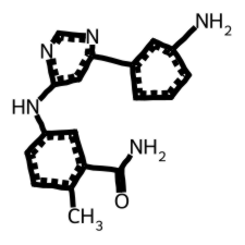 Cc1ccc(Nc2cc(-c3cccc(N)c3)ncn2)cc1C(N)=O